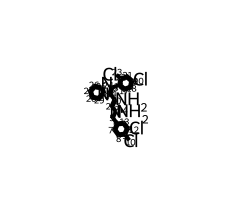 N/C(=C\N(N)Cc1ccc(Cl)c(Cl)c1)c1c(-c2ccc(Cl)cc2Cl)nc2ccccn12